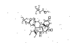 CC=C(CC)[C@H]1N(CC(=O)OC(C)(C)C)C(=O)C[C@@H](c2cccc(Cl)c2)[C@]12C(=O)Nc1cc(Cl)ccc12.COCC[Si](C)(C)C